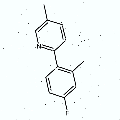 Cc1ccc(-c2ccc(F)cc2C)nc1